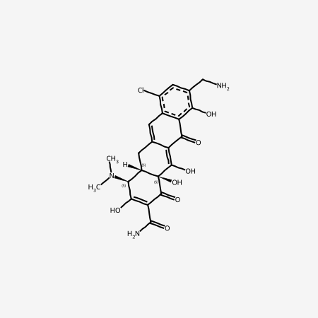 CN(C)[C@@H]1C(O)=C(C(N)=O)C(=O)[C@@]2(O)C(O)=C3C(=O)c4c(O)c(CN)cc(Cl)c4C=C3C[C@@H]12